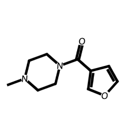 CN1CCN(C(=O)c2ccoc2)CC1